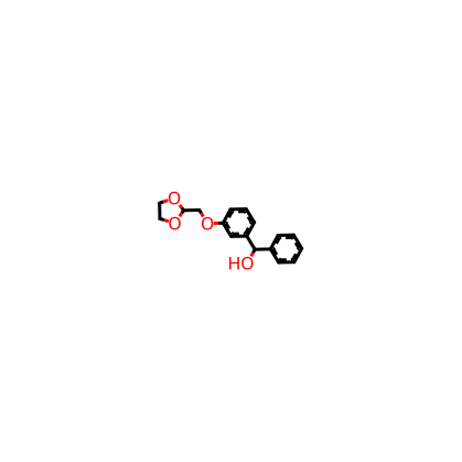 OC(c1ccccc1)c1cccc(OCC2OCCO2)c1